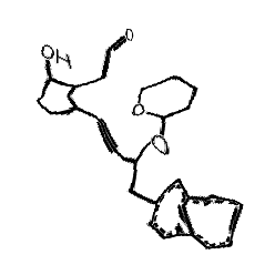 O=CCC1C(O)CCC1C#CC(Cc1ccc2ccccc2c1)OC1CCCCO1